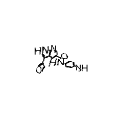 CNc1ccc(NC(=O)c2cnc3[nH]cc(-c4ccoc4)c3c2)cc1